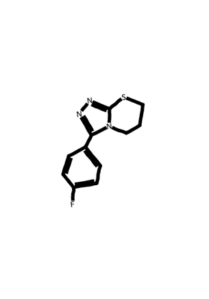 Fc1ccc(-c2nnc3n2CCCS3)cc1